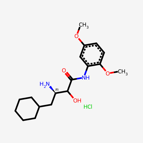 COc1ccc(OC)c(NC(=O)C(O)[C@H](N)CC2CCCCC2)c1.Cl